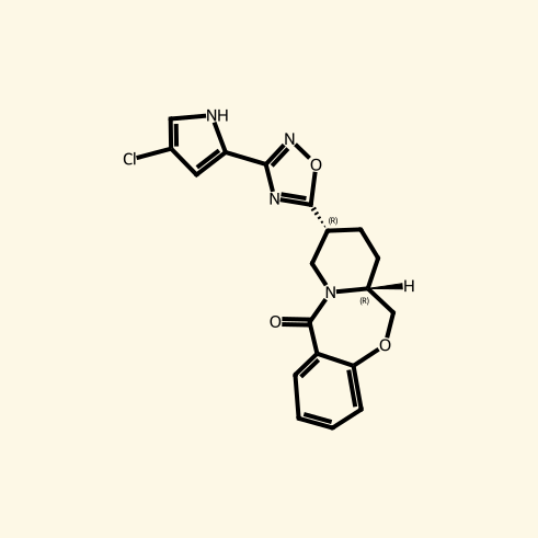 O=C1c2ccccc2OC[C@H]2CC[C@@H](c3nc(-c4cc(Cl)c[nH]4)no3)CN12